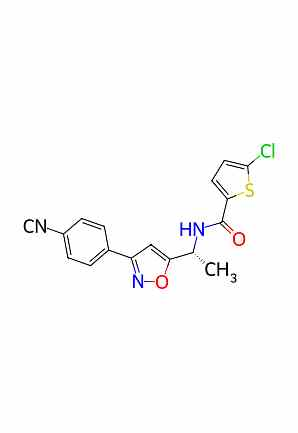 [C-]#[N+]c1ccc(-c2cc([C@@H](C)NC(=O)c3ccc(Cl)s3)on2)cc1